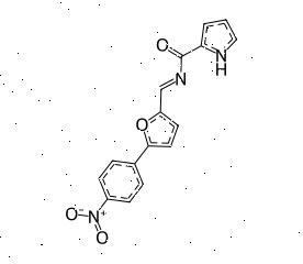 O=C(N=Cc1ccc(-c2ccc([N+](=O)[O-])cc2)o1)c1ccc[nH]1